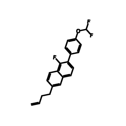 C=CCCc1ccc2c(F)c(-c3ccc(OC(F)F)cc3)ccc2c1